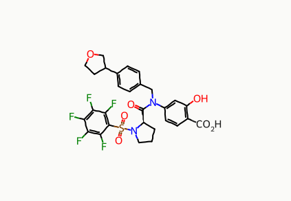 O=C(O)c1ccc(N(Cc2ccc(C3CCOC3)cc2)C(=O)[C@H]2CCCN2S(=O)(=O)c2c(F)c(F)c(F)c(F)c2F)cc1O